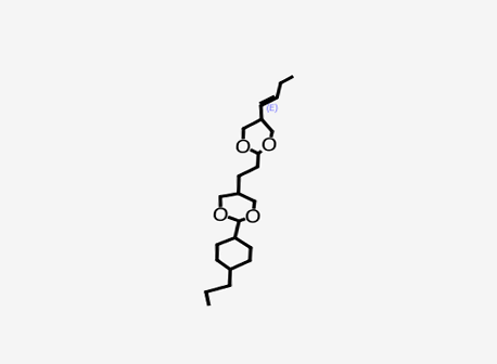 CC/C=C/C1COC(CCC2COC(C3CCC(CCC)CC3)OC2)OC1